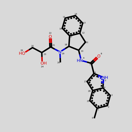 Cc1ccc2[nH]c(C(=O)NC3Cc4ccccc4C3N(C)C(=O)C(O)CO)cc2c1